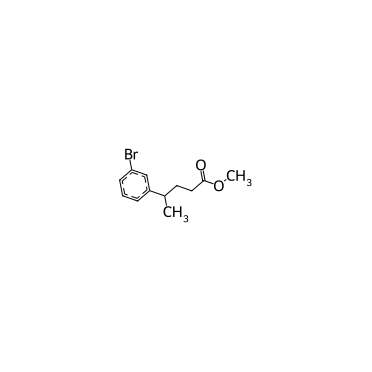 COC(=O)CCC(C)c1cccc(Br)c1